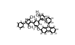 Cc1nn(-c2ccccc2)c(C)c1-c1cc(Oc2ccc3c4ccccc4n(-c4ccccn4)c3c2)cc(-c2nccn2C)c1